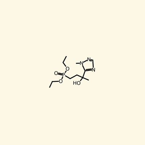 CCOP(=O)(CCC(C)(O)c1ncnn1C)OCC